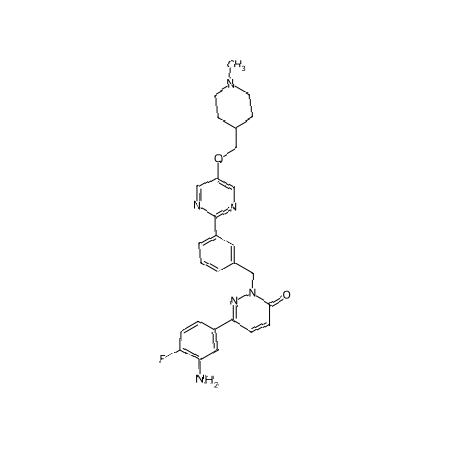 CN1CCC(COc2cnc(-c3cccc(Cn4nc(-c5ccc(F)c(N)c5)ccc4=O)c3)nc2)CC1